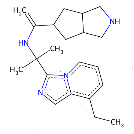 C=C(NC(C)(C)c1ncc2c(CC)cccn12)C1CC2CNCC2C1